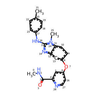 CNC(=O)c1cc(Oc2ccc3c(c2)nc(Nc2ccc(C)cc2)n3C)ccn1